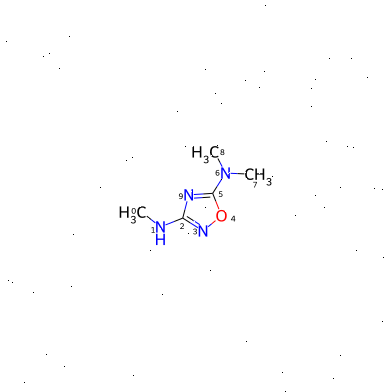 CNc1noc(N(C)C)n1